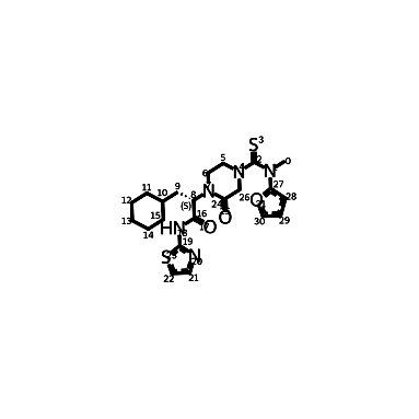 CN(C(=S)N1CCN([C@@H](CC2CCCCC2)C(=O)Nc2nccs2)C(=O)C1)c1ccco1